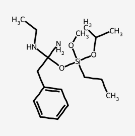 CCC[Si](OC)(OC(C)C)OC(N)(Cc1ccccc1)NCC